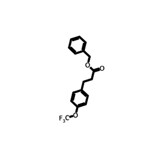 O=C(CCc1ccc(OC(F)(F)F)cc1)OCc1ccccc1